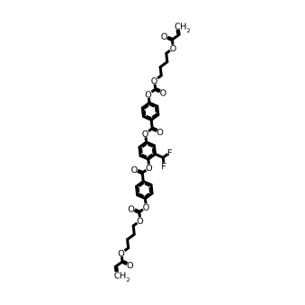 C=CC(=O)OCCCCOC(=O)Oc1ccc(C(=O)Oc2ccc(OC(=O)c3ccc(OC(=O)OCCCCOC(=O)C=C)cc3)c(C(F)F)c2)cc1